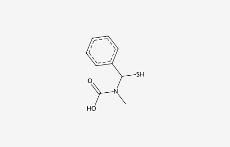 CN(C(=O)O)C(S)c1ccccc1